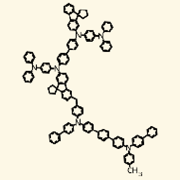 Cc1ccc(N(c2ccc(-c3ccccc3)cc2)c2ccc(-c3ccc(-c4ccc(N(c5ccc(Cc6ccc7c(c6)-c6ccc(N(c8ccc(-c9ccc(N(c%10ccc(N(c%11ccccc%11)c%11ccccc%11)cc%10)c%10ccc%11c(c%10)C%10(CCCC%10)c%10ccccc%10-%11)cc9)cc8)c8ccc(N(c9ccccc9)c9ccccc9)cc8)cc6C76CCCC6)cc5)c5ccc(-c6ccccc6)cc5)cc4)cc3)cc2)cc1